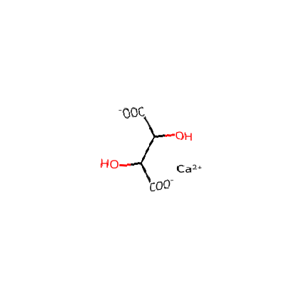 O=C([O-])C(O)C(O)C(=O)[O-].[Ca+2]